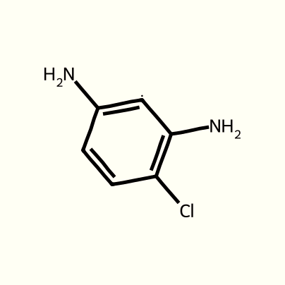 Nc1[c]c(N)c(Cl)cc1